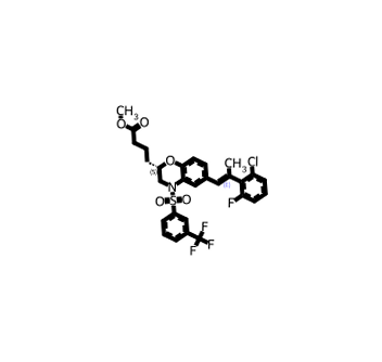 COC(=O)CCC[C@H]1CN(S(=O)(=O)c2cccc(C(F)(F)F)c2)c2cc(/C=C(\C)c3c(F)cccc3Cl)ccc2O1